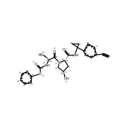 C#Cc1ccc(C2(NC(=O)[C@@H]3C[C@@H](O)CN3C(=O)[C@@H](NC(=O)Oc3ccccc3)C(C)(C)C)CC2)cc1